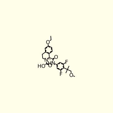 CCOc1ccc2c(c1)CCN(C(=O)O)[C@@H]2C(=O)Nc1cc(F)c(C(C)(C)COC)c(F)c1